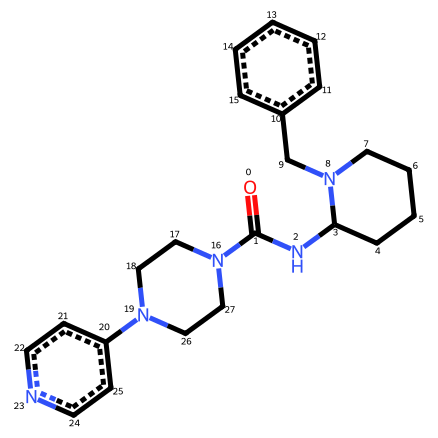 O=C(NC1CCCCN1Cc1ccccc1)N1CCN(c2ccncc2)CC1